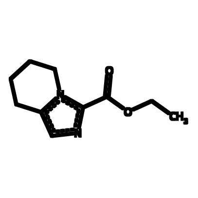 CCOC(=O)c1ncc2n1CCCC2